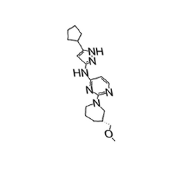 COC[C@@H]1CCCN(c2nccc(Nc3cc(C4CCCC4)[nH]n3)n2)C1